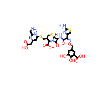 Nc1nc(/C(=N/OCc2cc(O)c(O)c(C(=O)O)c2)C(=O)N[C@@H]2C(=O)N3C(C(=O)O)=C(CSc4cc(CC(=O)O)nc5cnnn45)CS[C@H]23)cs1